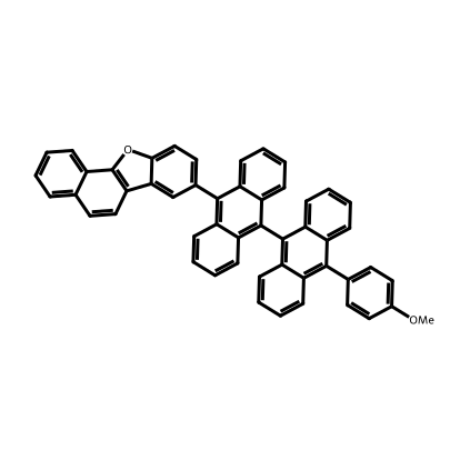 COc1ccc(-c2c3ccccc3c(-c3c4ccccc4c(-c4ccc5oc6c7ccccc7ccc6c5c4)c4ccccc34)c3ccccc23)cc1